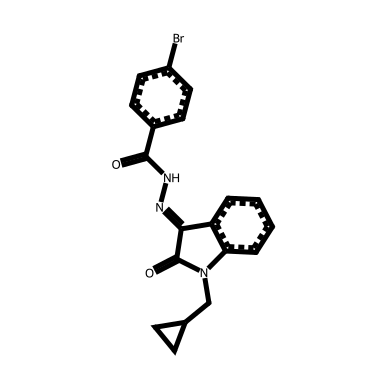 O=C(N/N=C1/C(=O)N(CC2CC2)c2ccccc21)c1ccc(Br)cc1